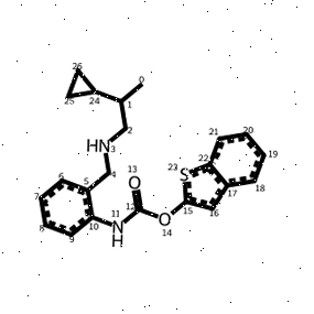 CC(CNCc1ccccc1NC(=O)Oc1cc2ccccc2s1)C1CC1